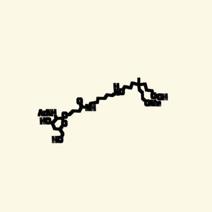 COCCCC(C)(CCCOO)CCCONCCCCCCNC(=O)CCCOC1OC(CO)CC(O)C1NC(C)=O